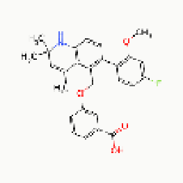 COc1cc(F)ccc1-c1ccc2c(c1COc1cccc(C(=O)O)c1)C(C)=CC(C)(C)N2